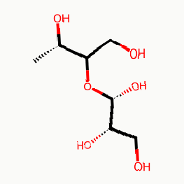 C[C@H](O)C(CO)O[C@H](O)[C@@H](O)CO